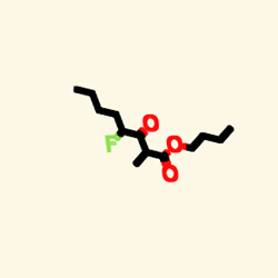 CCCCOC(=O)C(C)C(=O)C(F)CCCC